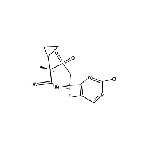 C[C@]1(C2CC2)C(=N)N[C@@]2(Cc3cnc(Cl)nc32)CS1(=O)=O